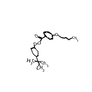 CCCCOc1ccc(C(=O)OO[C]2CCC(C(C)(C)C)CC2)cc1